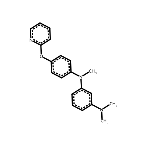 CN(C)c1cccc(N(C)c2ccc(Oc3ccccn3)cc2)c1